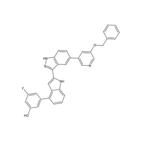 Oc1cc(F)cc(-c2cccc3[nH]c(-c4n[nH]c5ccc(-c6cncc(OCc7ccccc7)c6)cc45)cc23)c1